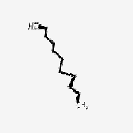 [CH]=CCCCCCC=CC=C